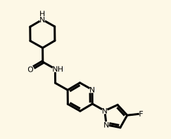 O=C(NCc1ccc(-n2cc(F)cn2)nc1)C1CCNCC1